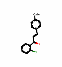 COc1ccc(C=CC(=O)c2ccccc2Cl)cc1